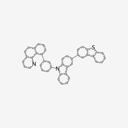 c1cc(-c2cccc3ccc4cccnc4c23)cc(-n2c3ccccc3c3cc(-c4ccc5sc6ccccc6c5c4)ccc32)c1